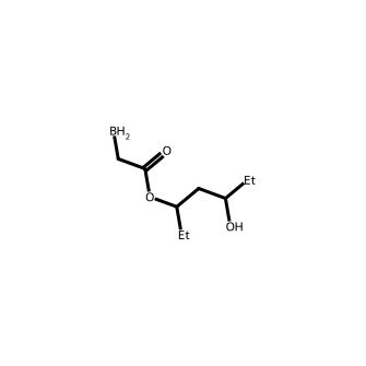 BCC(=O)OC(CC)CC(O)CC